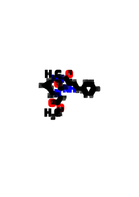 CNC(=O)C(CCc1ccccc1)NC(=O)N(CC(=O)OC)CC1CC1